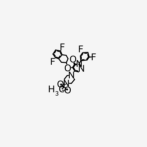 CS(=O)(=O)N1CCN(c2cnn(-c3cc(F)cc(F)c3)c(=O)c2OC2CCc3c(F)ccc(F)c3C2)CC1